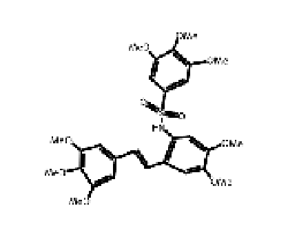 COc1cc(C=Cc2cc(OC)c(OC)c(OC)c2)c(NS(=O)(=O)c2cc(OC)c(OC)c(OC)c2)cc1OC